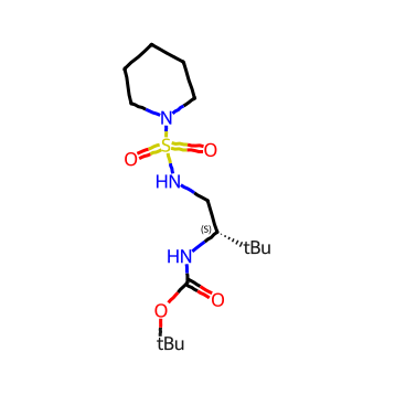 CC(C)(C)OC(=O)N[C@H](CNS(=O)(=O)N1CCCCC1)C(C)(C)C